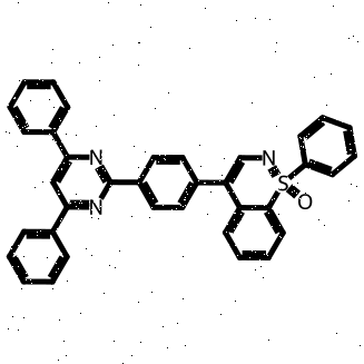 O=S1(c2ccccc2)=NC=C(c2ccc(-c3nc(-c4ccccc4)cc(-c4ccccc4)n3)cc2)c2ccccc21